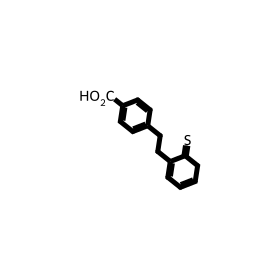 O=C(O)c1ccc(CCC2=CC=CCC2=S)cc1